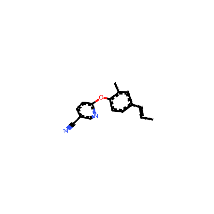 CC=Cc1ccc(Oc2ccc(C#N)cn2)c(C)c1